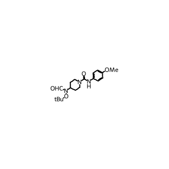 COc1ccc(NC(=O)N2CCC(N(C=O)OC(C)(C)C)CC2)cc1